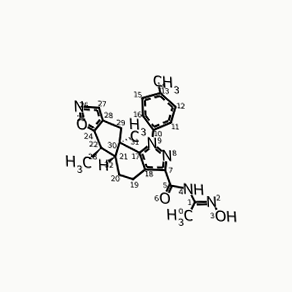 C/C(=N\O)NC(=O)c1nn(-c2ccc(C)cc2)c2c1CC[C@@H]1[C@@H](C)c3oncc3C[C@@]21C